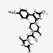 COc1ccc(-c2nc(C(F)(F)F)sc2N2CCN(C(=O)Cn3nc(C)nc3C)C(C)C2)cc1